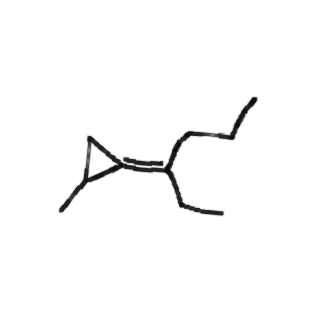 CCCC(CC)=C1CC1C